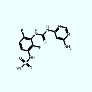 CCCS(=O)(=O)Nc1ccc(F)c(NC(=O)Nc2cc(N)ncn2)c1F